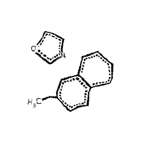 Cc1ccc2ccccc2c1.c1cocn1